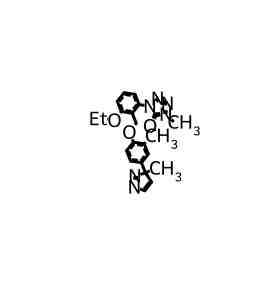 CCOc1cccc(-n2nnn(C)c2=O)c1COc1ccc(C2(C)C=CN=N2)cc1C